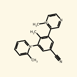 Cc1c(-c2cncc[n+]2C)cc(C#N)cc1-[n+]1ccccc1C